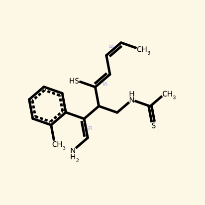 C/C=C\C=C(/S)C(CNC(C)=S)/C(=C/N)c1ccccc1C